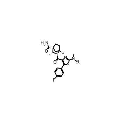 [CH2][C@H]1N(C(=O)c2nc(N(C)CC)sc2-c2ccc(F)cc2)[C@H]2CC[C@@]1(C(N)=O)C2